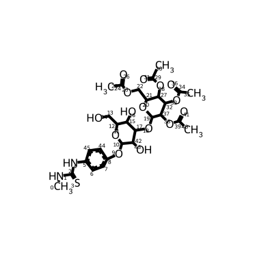 CNC(=S)Nc1ccc(OC2OC(CO)C(O)C(OC3OC(COC(C)=O)C(OC(C)=O)C(OC(C)=O)C3OC(C)=O)C2O)cc1